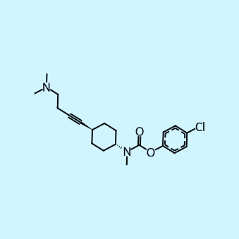 CN(C)CCC#C[C@H]1CC[C@H](N(C)C(=O)Oc2ccc(Cl)cc2)CC1